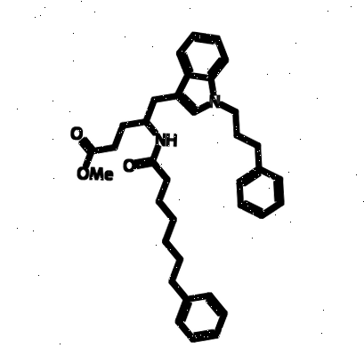 COC(=O)CCC(Cc1cn(CCCc2ccccc2)c2ccccc12)NC(=O)CCCCCCc1ccccc1